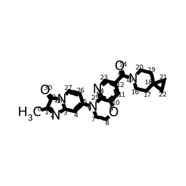 CC1=NC2C=C(N3CCOc4cc(C(=O)N5CCC6(CC5)CC6)cnc43)C=CN2C1=O